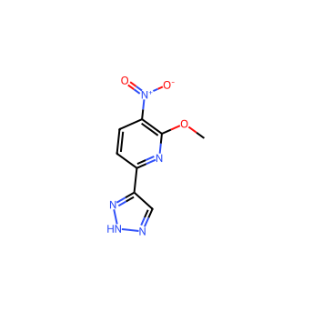 COc1nc(-c2cn[nH]n2)ccc1[N+](=O)[O-]